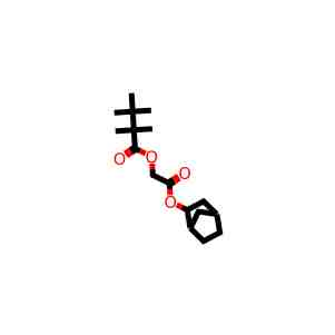 CC(C)(C)C(C)(C)C(=O)OCC(=O)OC1CC2CCC1C2